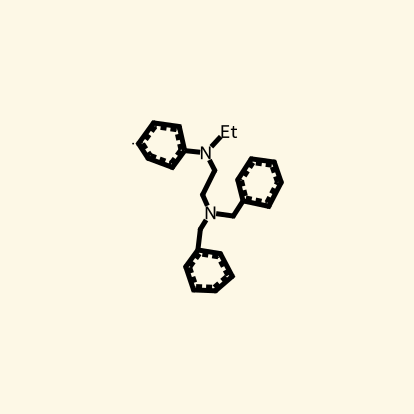 CCN(CCN(Cc1ccccc1)Cc1ccccc1)c1cc[c]cc1